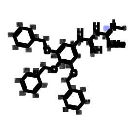 C/N=C(\NC)NC(=N)Nc1cc(OCc2ccccc2)c(OCc2ccccc2)c(OCc2ccccc2)c1